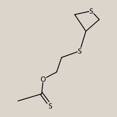 CC(=S)OCCSC1CSC1